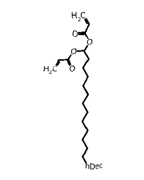 C=CC(=O)OC(CCCCCCCCCCCCCCCCCCCCCC)OC(=O)C=C